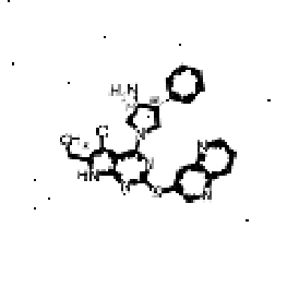 CCc1[nH]c2nc(Sc3cnc4cccnc4c3)nc(N3C[C@@H](N)[C@H](c4ccccc4)C3)c2c1Cl